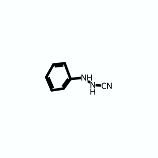 N#CNNc1ccccc1